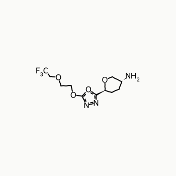 N[C@@H]1CC[C@@H](c2nnc(OCCOCC(F)(F)F)o2)OC1